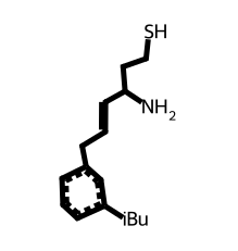 CCC(C)c1cccc(C/C=C/C(N)CCS)c1